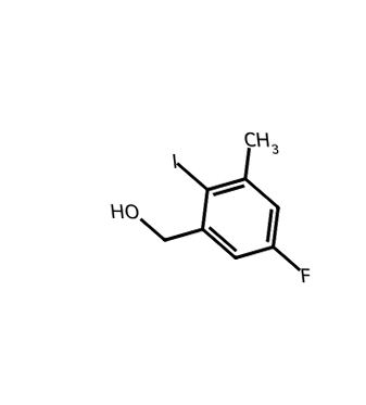 Cc1cc(F)cc(CO)c1I